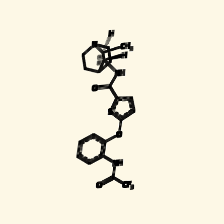 C[C@H]1[C@H](NC(=O)c2ccc(Oc3ccccc3NC(=O)C(F)(F)F)s2)C2CCN1CC2